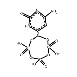 Nc1cc[nH]c(=O)n1.O=P1(O)OBOP(=O)(O)OP(=O)(O)O1